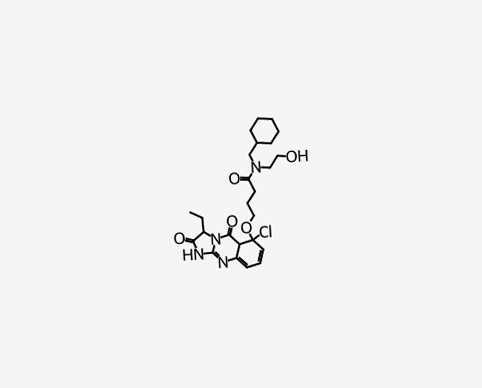 CCC1C(=O)NC2=NC3=CC=CC(Cl)(OCCCC(=O)N(CCO)CC4CCCCC4)C3C(=O)N21